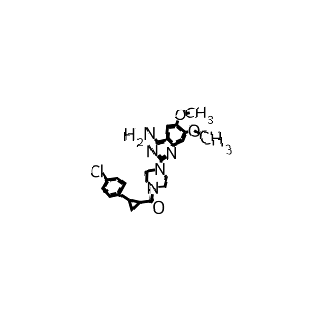 COc1cc2nc(N3CCN(C(=O)C4CC4c4ccc(Cl)cc4)CC3)nc(N)c2cc1OC